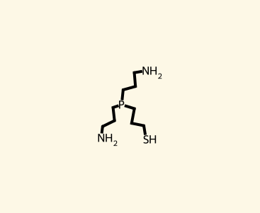 NCCCP(CCCN)CCCS